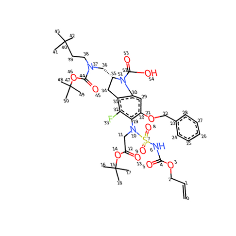 C=CCOC(=O)NS(=O)(=O)N(CC(=O)OC(C)(C)C)c1c(OCc2ccccc2)cc2c(c1F)C[C@H](CN(CCC(C)(C)C)C(=O)OC(C)(C)C)N2C(=O)O